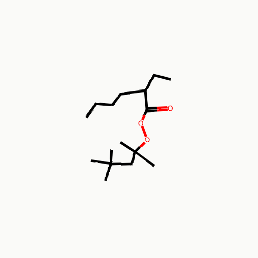 CCCCC(CC)C(=O)OOC(C)(C)CC(C)(C)C